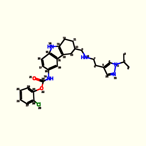 CC(C)n1cc(CCNCC2CCc3[nH]c4ccc(NC(=O)Oc5ccccc5Cl)cc4c3C2)cn1